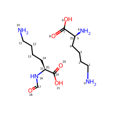 NCCCC[C@H](N)C(=O)O.NCCCC[C@H](NC=O)C(=O)O